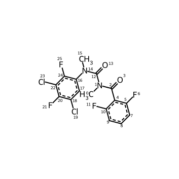 CN(C(=O)c1c(F)cccc1F)C(=O)N(C)c1cc(Cl)c(F)c(Cl)c1F